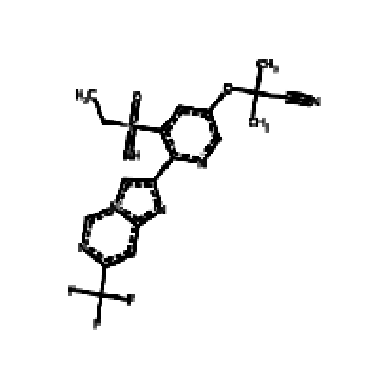 CC[S@@](=N)(=O)c1cc(OC(C)(C)C#N)cnc1-c1cn2cnc(C(F)(F)F)cc2n1